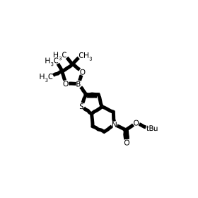 CC(C)(C)OC(=O)N1CCC2SC(B3OC(C)(C)C(C)(C)O3)=CC2C1